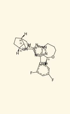 COc1cc(N2C[C@H]3CC[C@@H](C2)[C@@H]3Nc2nc3n(n2)CCCO[C@H]3c2cc(F)cc(F)c2)cnn1